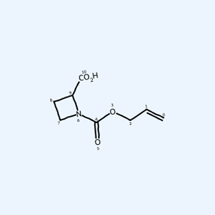 C=CCOC(=O)N1CCC1C(=O)O